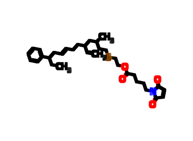 C=CC(CCC=CCC(CC)c1ccccc1)CC(C)CCSCCOC(=O)CCCCN1C(=O)C=CC1=O